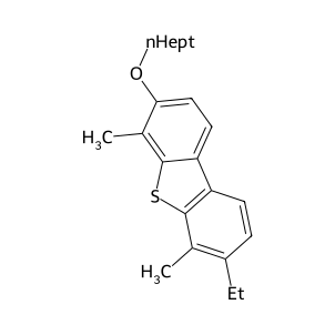 CCCCCCCOc1ccc2c(sc3c(C)c(CC)ccc32)c1C